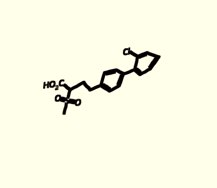 CS(=O)(=O)C(CCc1ccc(-c2ccccc2Cl)cc1)C(=O)O